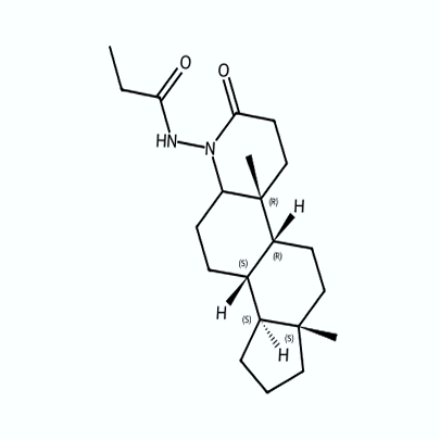 CCC(=O)NN1C(=O)CC[C@@]2(C)C1CC[C@@H]1[C@H]2CC[C@]2(C)CCC[C@@H]12